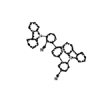 N#Cc1ccc(-n2c3ccccc3c3ccccc32)c(-c2ccc(-c3cccc(-n4c5ccccc5c5ccccc54)c3C#N)cc2)c1